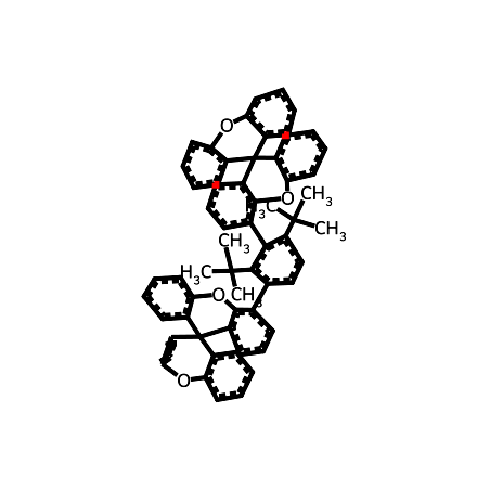 CC(C)(C)c1ccc(-c2cccc3c2Oc2ccccc2C32c3ccccc3Oc3ccccc32)c(C(C)(C)C)c1-c1cccc2c1Oc1ccccc1C21c2ccccc2Oc2ccccc21